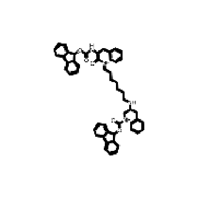 O=C(NCC(Cc1ccccc1)NCCCCCCCNC(=O)C(Cc1ccccc1)NC(=O)OC1c2ccccc2-c2ccccc21)OC1c2ccccc2-c2ccccc21